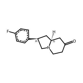 O=C1CCN2C[C@@H](c3ccc(F)cc3)C[C@H]2C1